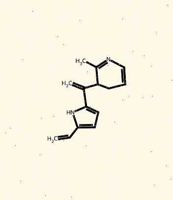 C=Cc1ccc(C(=C)C2CC=CN=C2C)[nH]1